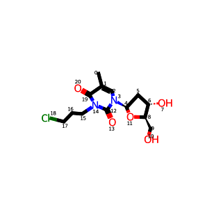 Cc1cn([C@H]2C[C@H](O)[C@@H](CO)O2)c(=O)n(CCCCl)c1=O